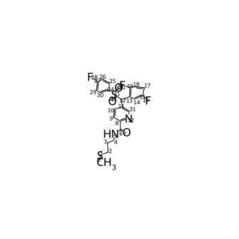 CSCCCNC(=O)c1ccc(C(c2cc(F)ccc2F)S(=O)(=O)c2ccc(F)cc2)cn1